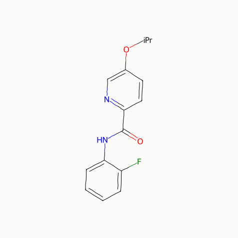 CC(C)Oc1ccc(C(=O)Nc2ccccc2F)nc1